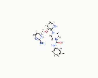 Cc1cccc(NC(=O)N2CCN(c3ncccc3OCc3ccnc(N)n3)CC2)c1